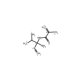 [CH2]C(N)C(N)(N=C)NC(=O)C(=C)C